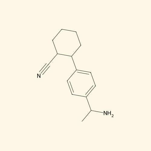 CC(N)c1ccc(C2CCCCC2C#N)cc1